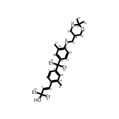 CCC(O)(C=Cc1ccc(C(CC)(CC)c2ccc(OCC3COC(C)(C)OC3)c(C)c2)cc1C)CC